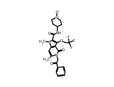 Cc1cc2c(c(OCC(F)(F)F)c(C(=O)NC3CC[S+]([O-])CC3)n2C)c(=O)n1CC(=O)c1ccccc1